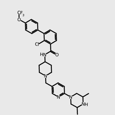 CC1CN(c2ccc(CN3CCC(NC(=O)c4cccc(-c5ccc(OC(F)(F)F)cc5)c4Cl)CC3)cn2)CC(C)N1